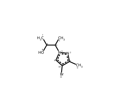 Cc1nn(C(C)C(C)O)cc1Br